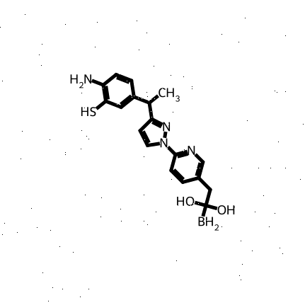 BC(O)(O)Cc1ccc(-n2ccc(C(C)c3ccc(N)c(S)c3)n2)nc1